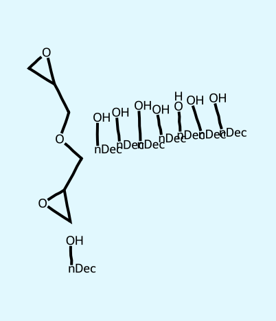 C(OCC1CO1)C1CO1.CCCCCCCCCCO.CCCCCCCCCCO.CCCCCCCCCCO.CCCCCCCCCCO.CCCCCCCCCCO.CCCCCCCCCCO.CCCCCCCCCCO.CCCCCCCCCCO